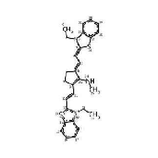 CCN1/C(=C/C=C2\CCC(/C=C/c3sc4ccccc4[n+]3CC)=C2NC)Sc2ccccc21